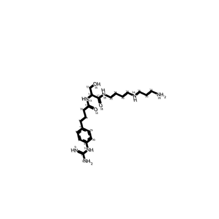 N=C(N)Nc1ccc(CCCC(=O)NC(CO)C(=O)NCCCCNCCCN)cc1